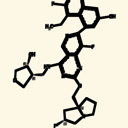 CCc1c(F)ccc2cc(O)cc(-c3ncc4c(NC[C@@H]5COC[C@@H]5O)nc(OC[C@@]56CCCN5C[C@H](F)C6)nc4c3F)c12